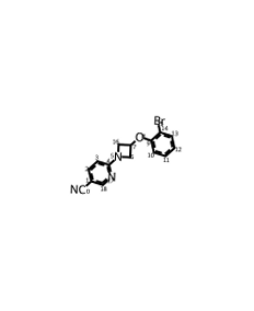 N#Cc1ccc(N2CC(Oc3ccccc3Br)C2)nc1